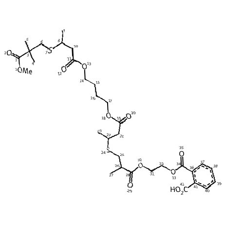 COC(=O)C(C)(C)CSC(C)CC(=O)OCCCCOC(=O)CC(C)SCC(C)C(=O)OCCOC(=O)c1ccccc1C(=O)O